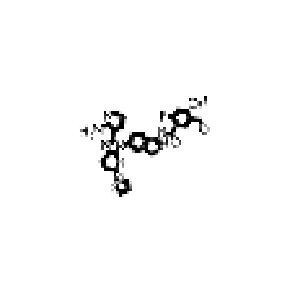 Nc1ncccc1-c1nc2ccc(-n3cccn3)nc2n1-c1ccc2c(c1)CC[C@@H]2NC(=O)c1cc(C=O)c(O)cc1F